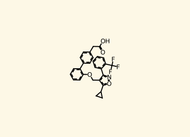 O=C(O)Cc1ccc(-c2ccccc2OCc2c(-c3ccccc3C(F)(F)F)noc2C2CC2)cc1